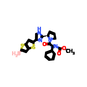 Bc1cc2sc(-c3c[nH]c([C@@H]4C=CCN4C(=O)C(NC(=O)OC)c4ccccc4)n3)cc2s1